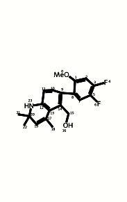 COc1cc(F)c(F)cc1-c1ccc2c(c1CO)C(C)=CC(C)(C)N2